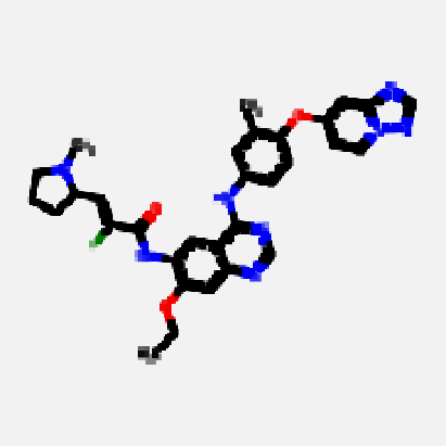 CCOc1cc2ncnc(Nc3ccc(Oc4ccn5ncnc5c4)c(C)c3)c2cc1NC(=O)C(F)=CC1CCCN1C